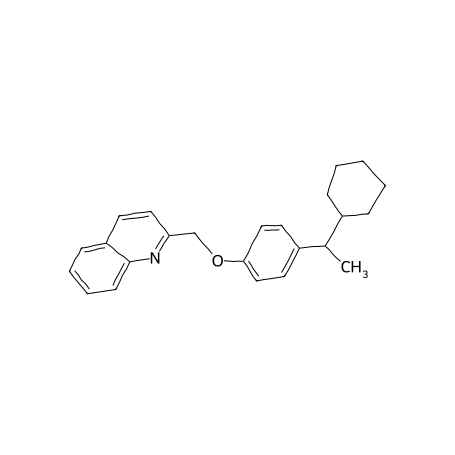 CC(c1ccc(OCc2ccc3ccccc3n2)cc1)C1CCCCC1